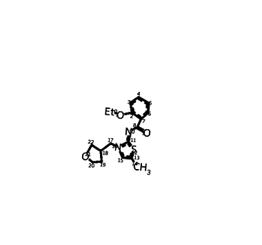 CCOc1ccccc1C(=O)/N=c1\sc(C)cn1CC1CCOC1